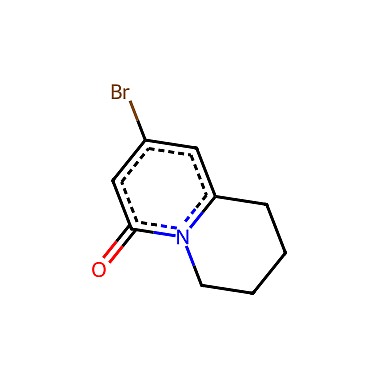 O=c1cc(Br)cc2n1CCCC2